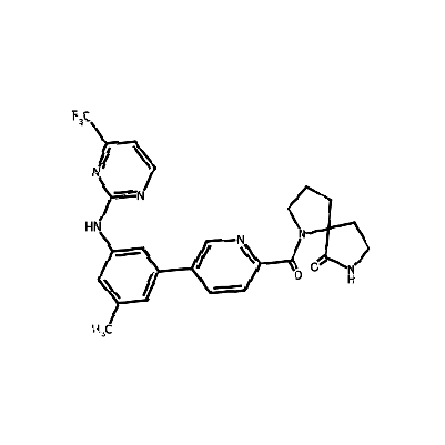 Cc1cc(Nc2nccc(C(F)(F)F)n2)cc(-c2ccc(C(=O)N3CCCC34CCNC4=O)nc2)c1